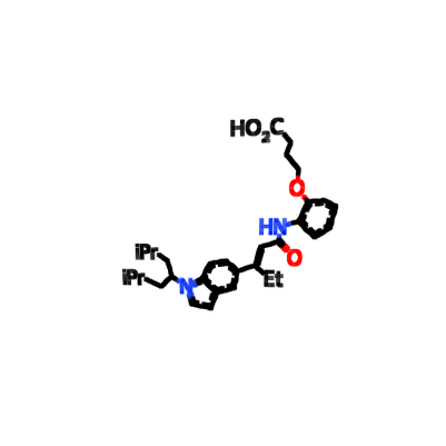 CC/C(=C\C(=O)Nc1ccccc1OCCCC(=O)O)c1ccc2c(ccn2C(CC(C)C)CC(C)C)c1